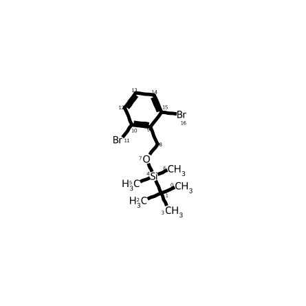 CC(C)(C)[Si](C)(C)OCc1c(Br)cccc1Br